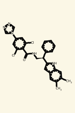 Cc1cc2cc([C@@H](CNC(=O)c3c(Cl)cc(-n4cnnc4)cc3Cl)c3ccccc3)[nH]c2cc1C